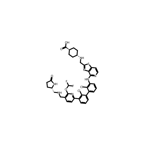 O=C1CC[C@@H](CNCc2ccc(-c3cccc(-c4cccc(Nc5nccc6sc(CN[C@H]7CC[C@H](C(=O)O)CC7)nc56)c4Cl)c3Cl)nc2OC(F)F)N1